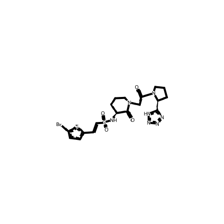 O=C1[C@@H](NS(=O)(=O)/C=C/c2ccc(Br)s2)CCCN1CC(=O)N1CCC[C@H]1c1nnn[nH]1